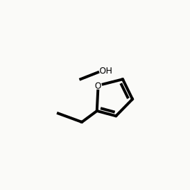 CCc1ccco1.CO